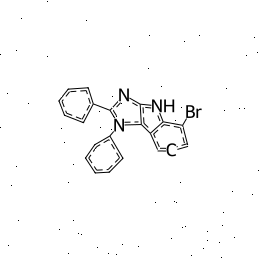 Brc1cccc2c1[nH]c1nc(-c3ccccc3)n(-c3ccccc3)c12